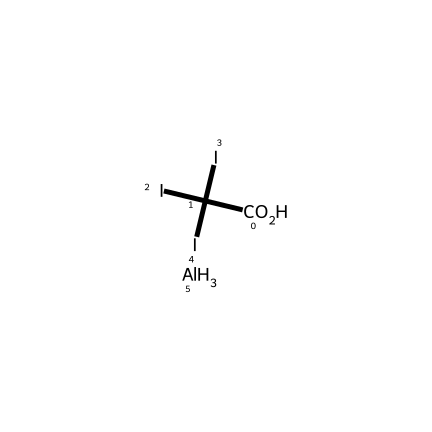 O=C(O)C(I)(I)I.[AlH3]